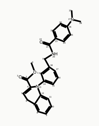 COC(=O)C1=CCc2ccccc2N1c1cccc(CNC(=O)c2ccc(N(C)C)cc2)c1